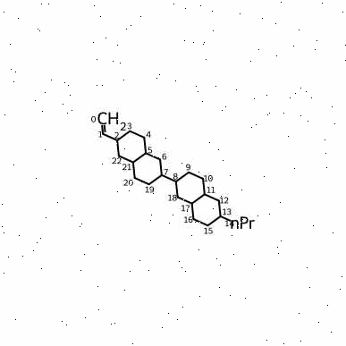 C=CC1CCC2CC(C3CCC4CC(CCC)CCC4C3)CCC2C1